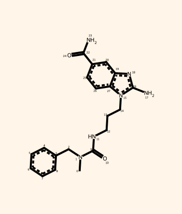 CN(Cc1ccccc1)C(=O)NCCCn1c(N)nc2cc(C(N)=O)ccc21